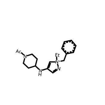 CC[N+]1(Cc2ccccc2)C=C(NC2CCN(C(C)=O)CC2)C=N1